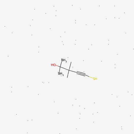 BC(B)(O)C(C)(C)C#CS